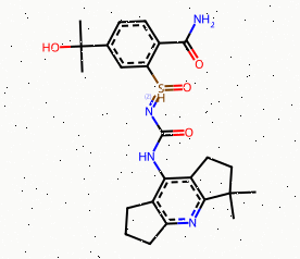 CC(C)(O)c1ccc(C(N)=O)c(/[SH](=O)=N/C(=O)Nc2c3c(nc4c2CCC4(C)C)CCC3)c1